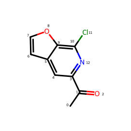 CC(=O)c1cc2ccoc2c(Cl)n1